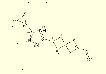 O=CN1CC2(CC(c3nnc(C4CC4)[nH]3)C2)C1